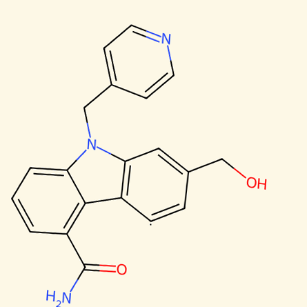 NC(=O)c1cccc2c1c1[c]cc(CO)cc1n2Cc1ccncc1